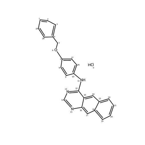 Cl.c1ccc(COc2ccc(Nc3ncnc4cc5ccccc5cc34)cc2)cc1